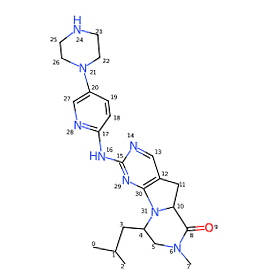 CC(C)CC1CN(C)C(=O)C2Cc3cnc(Nc4ccc(N5CCNCC5)cn4)nc3N12